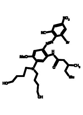 COc1cc(N=Nc2c(Br)cc([N+](=O)[O-])cc2C#N)c(NC(=O)CC(C)CC(C)(C)C)cc1N(CCCCO)CCCCO